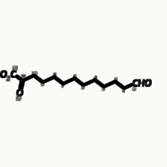 O=CCCCCCCCCCCC(=O)C(=O)O